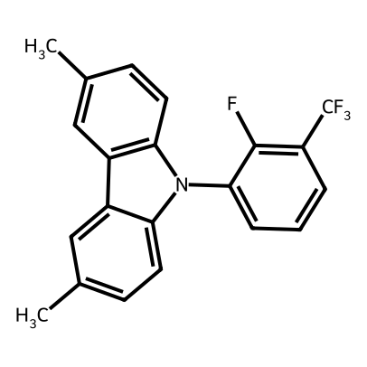 Cc1ccc2c(c1)c1cc(C)ccc1n2-c1cccc(C(F)(F)F)c1F